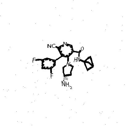 N#Cc1ncc(C(=O)NC23CC(C2)C3)c(N2CC[C@H](N)C2)c1-c1cc(F)cc(F)c1